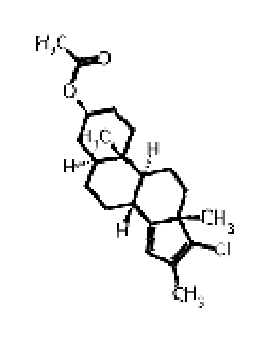 CC(=O)O[C@H]1CC[C@@]2(C)[C@@H](CC[C@H]3C4=CC(C)=C(Cl)[C@@]4(C)CC[C@@H]32)C1